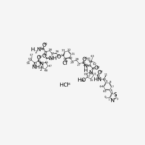 Cc1ncsc1-c1ccc([C@H](C)NC(=O)[C@@H]2C[C@@H](O)CN2C(=O)[C@@H](NC(=O)CCCc2cccc(OC[C@H](CCC(N)=O)NC(=O)[C@@H]3CCCN3C(=O)[C@@H](N)C(C)C)c2Cl)C(C)(C)C)cc1.Cl